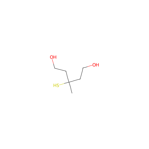 CC(S)(CCO)CCO